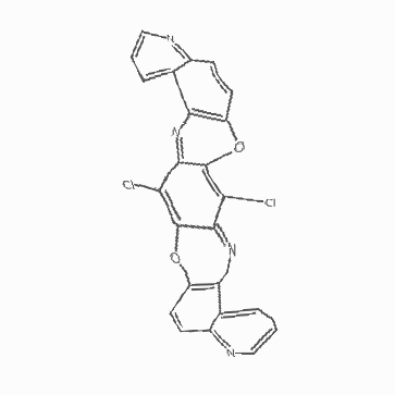 Clc1c2c(c(Cl)c3c1=Nc1c(ccc4ncccc14)O3)=Nc1c(ccc3ncccc13)O2